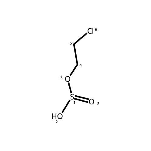 O=S(O)OCCCl